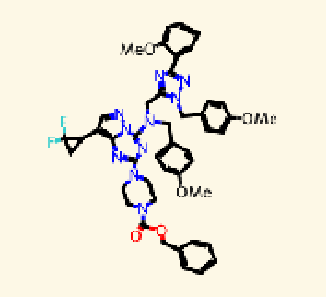 COc1ccc(CN(Cc2nc(-c3ccccc3OC)nn2Cc2ccc(OC)cc2)c2nc(N3CCN(C(=O)OCc4ccccc4)CC3)nc3c(C4CC4(F)F)cnn23)cc1